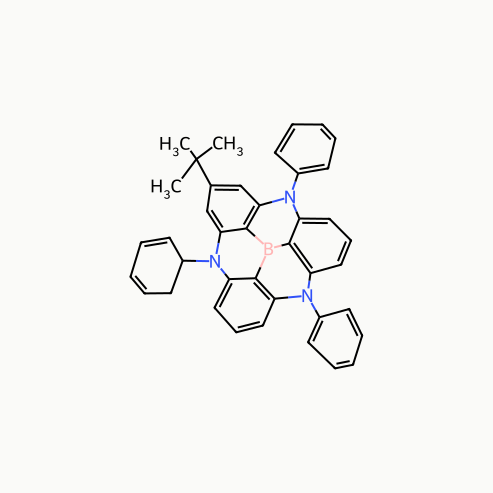 CC(C)(C)c1cc2c3c(c1)N(C1C=CC=CC1)c1cccc4c1B3c1c(cccc1N2c1ccccc1)N4c1ccccc1